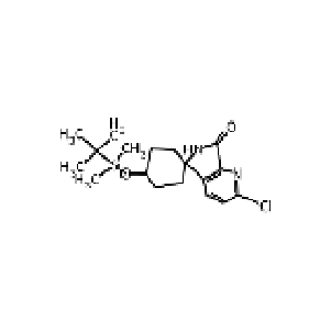 CC(C)(C)[Si](C)(C)OC1CCC2(CC1)NC(=O)c1nc(Cl)ccc12